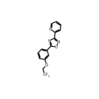 FC(F)(F)COc1cccc(-c2nc(-c3ccccn3)no2)c1